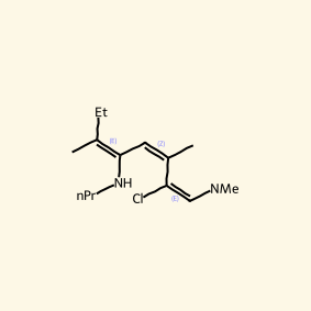 CCCNC(/C=C(C)\C(Cl)=C/NC)=C(\C)CC